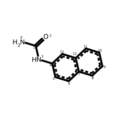 NC(=O)Nc1ccc2c[c]ccc2c1